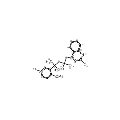 COc1ccc(F)cc1C(C)(C)CC(O)(Cc1cc(Cl)nc2ccccc12)C(F)(F)F